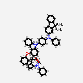 CC1(C)c2ccccc2-c2ccc(N(c3ccccc3)c3ccc(-n4c5ccccc5c5c6c(ccc54)C4(c5ccccc5O6)c5ccccc5N(c5ccccc5)c5ccccc54)cc3)cc21